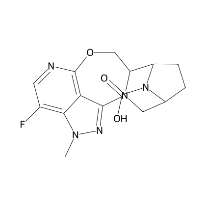 Cn1nc2c3c(ncc(F)c31)OCC1C3CCC(CN21)N3C(=O)O